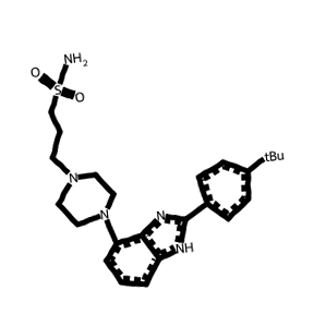 CC(C)(C)c1ccc(-c2nc3c(N4CCN(CCCS(N)(=O)=O)CC4)cccc3[nH]2)cc1